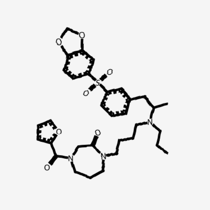 CCCN(CCCCN1CCCN(C(=O)c2ccco2)CC1=O)C(C)Cc1cccc(S(=O)(=O)c2ccc3c(c2)OCO3)c1